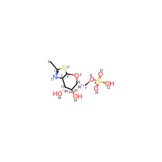 CC1=NC2C(O[C@H](COS(=O)(=O)O)[C@@H](O)[C@@H]2O)S1